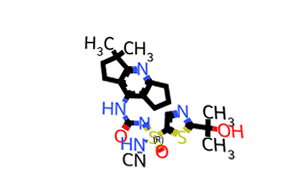 CC(C)(O)c1ncc([S@](=O)(=NC(=O)Nc2c3c(nc4c2CCC4(C)C)CCC3)NC#N)s1